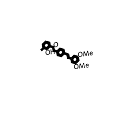 COc1cc(/C=C/c2ccc(CC(=O)c3cccc(C)c3O)cc2)cc(OC)c1